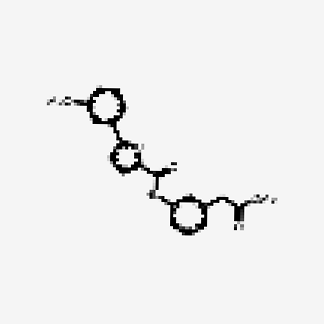 COC(=O)Cc1cccc(NC(=O)c2ccc(-c3cccc(OC)c3)o2)c1